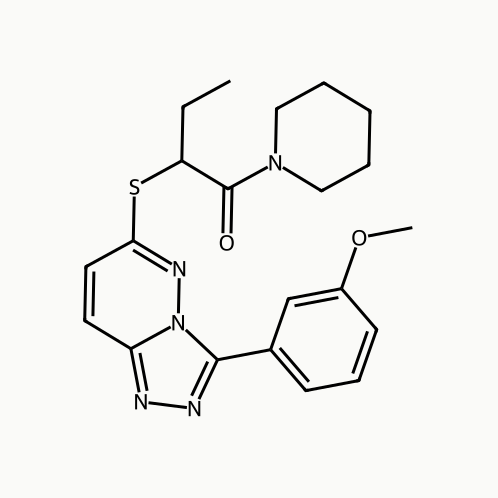 CCC(Sc1ccc2nnc(-c3cccc(OC)c3)n2n1)C(=O)N1CCCCC1